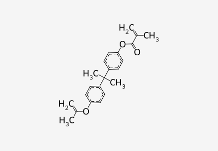 C=C(C)Oc1ccc(C(C)(C)c2ccc(OC(=O)C(=C)C)cc2)cc1